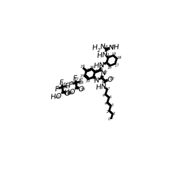 CCCCCCCCNC(=O)c1nc(NC2CCCCC2NC(=N)N)c2cc(C)ccc2n1.O=C(O)C(F)(F)F.O=C(O)C(F)(F)F